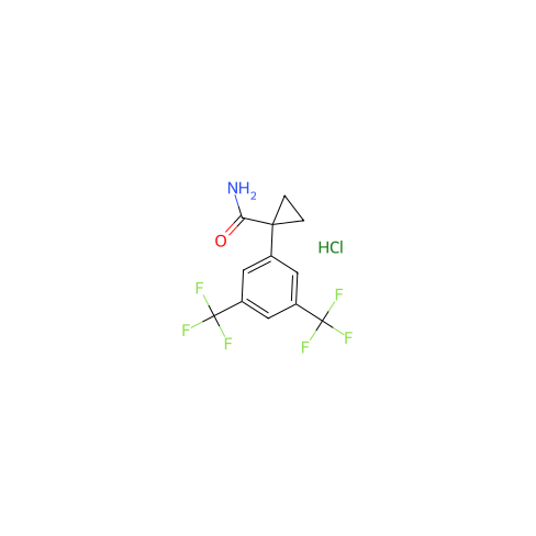 Cl.NC(=O)C1(c2cc(C(F)(F)F)cc(C(F)(F)F)c2)CC1